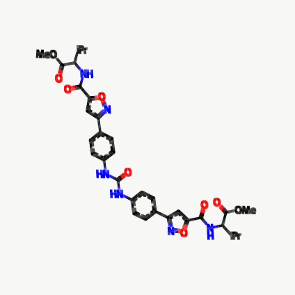 COC(=O)C(NC(=O)c1cc(-c2ccc(NC(=O)Nc3ccc(-c4cc(C(=O)NC(C(=O)OC)C(C)C)on4)cc3)cc2)no1)C(C)C